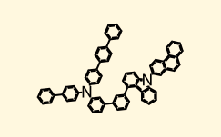 c1ccc(-c2ccc(-c3ccc(N(c4ccc(-c5ccccc5)cc4)c4cccc(-c5cccc(-c6cccc7c6c6ccccc6n7-c6ccc7c(ccc8ccccc87)c6)c5)c4)cc3)cc2)cc1